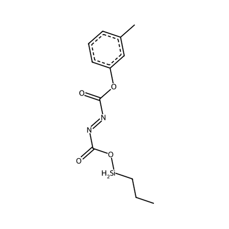 CCC[SiH2]OC(=O)N=NC(=O)Oc1cccc(C)c1